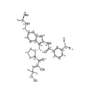 CCOC(C)(C)/C=C(\C#N)C(=O)N1CCC[C@@H]1Cn1c(NC(=O)c2cccc(C(F)F)c2)nc2cc(CN[C@@H](C)C(C)(C)C)ccc21